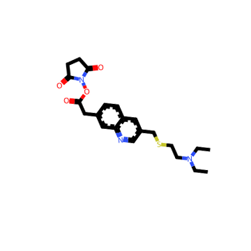 CCN(CC)CCSCc1cnc2cc(CC(=O)ON3C(=O)CCC3=O)ccc2c1